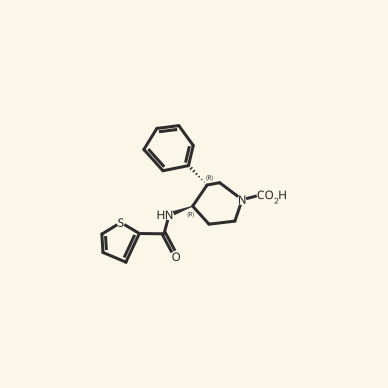 O=C(N[C@@H]1CCN(C(=O)O)C[C@H]1c1ccccc1)c1cccs1